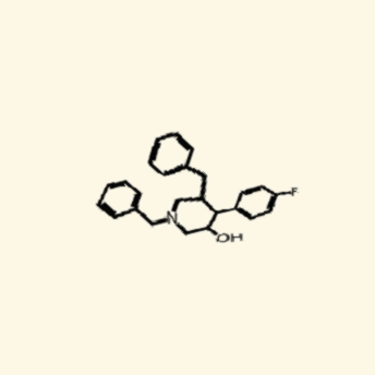 OC1CN(Cc2ccccc2)CC(Cc2ccccc2)C1c1ccc(F)cc1